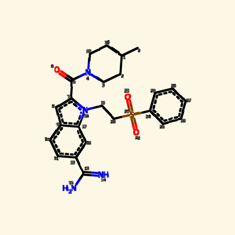 CC1CCN(C(=O)c2cc3ccc(C(=N)N)cc3n2CCS(=O)(=O)c2ccccc2)CC1